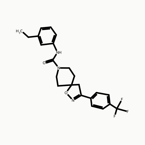 CCc1cccc(NC(=O)N2CCC3(CC2)CC(c2ccc(C(F)(F)F)cc2)=NO3)c1